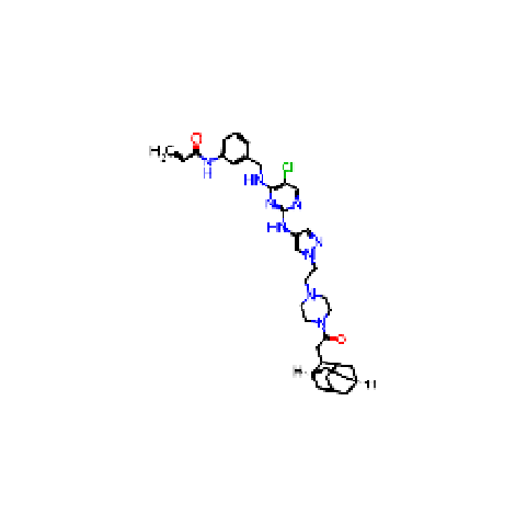 C=CC(=O)Nc1cccc(CNc2nc(Nc3cnn(CCN4CCN(C(=O)CC5C6CC7C[C@H](C6)C[C@H]5C7)CC4)c3)ncc2Cl)c1